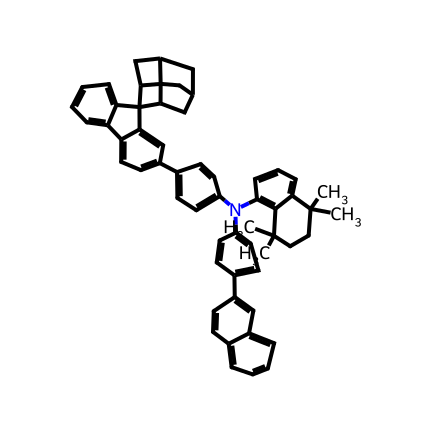 CC1(C)CCC(C)(C)c2c(N(c3ccc(-c4ccc5c(c4)C4(c6ccccc6-5)C5CC6CC7CC4C75C6)cc3)c3ccc(-c4ccc5ccccc5c4)cc3)cccc21